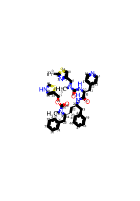 CC(C)c1nc(CN(C)C(=O)N[C@@H](Cc2ccncc2)C(=O)N[C@H](CC[C@H](Cc2ccccc2)N(C)C(=O)OCC2=CNCS2)Cc2ccccc2)cs1